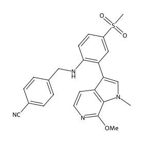 COc1nccc2c(-c3cc(S(C)(=O)=O)ccc3NCc3ccc(C#N)cc3)cn(C)c12